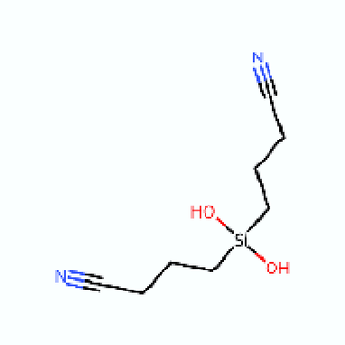 N#CCCC[Si](O)(O)CCCC#N